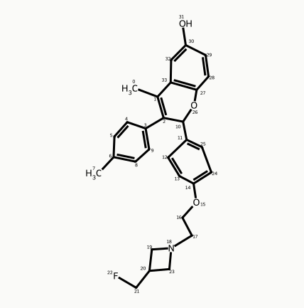 CC1=C(c2ccc(C)cc2)C(c2ccc(OCCN3CC(CF)C3)cc2)Oc2ccc(O)cc21